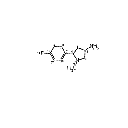 CN1CC(N)CC1c1ccc(F)cc1